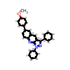 COc1ccc(-c2ccc3nc4c(cc3c2)c(-c2ccccc2)nn4-c2ccccc2)cc1